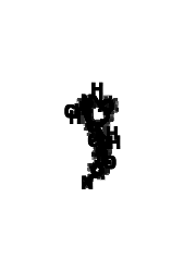 N#Cc1ccc(C(=O)N2CC[C@H](NC(=O)Nc3ccc4cc3CCc3cccc(c3)Nc3ncc(Cl)c(n3)N4)C2)cc1